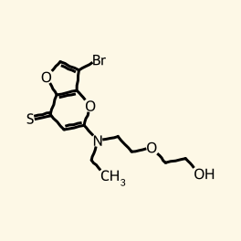 CCN(CCOCCO)c1cc(=S)c2occ(Br)c2o1